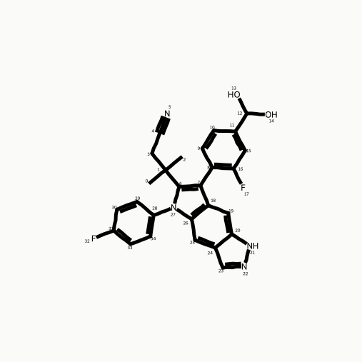 CC(C)(CC#N)c1c(-c2ccc(C(O)O)cc2F)c2cc3[nH]ncc3cc2n1-c1ccc(F)cc1